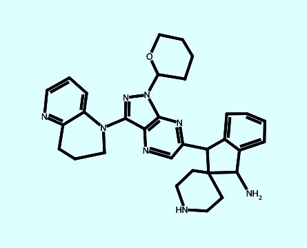 NC1c2ccccc2C(c2cnc3c(N4CCCc5ncccc54)nn(C4CCCCO4)c3n2)C12CCNCC2